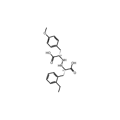 CCc1ccccc1C[C@H](NN[C@@H](Cc1ccc(OC)cc1)C(=O)O)C(=O)O